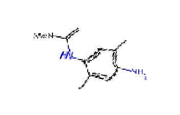 C=C(NC)Nc1cc(C)c(N)cc1C